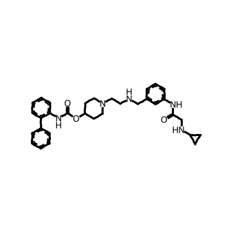 O=C(CNC1CC1)Nc1cccc(CNCCN2CCC(OC(=O)Nc3ccccc3-c3ccccc3)CC2)c1